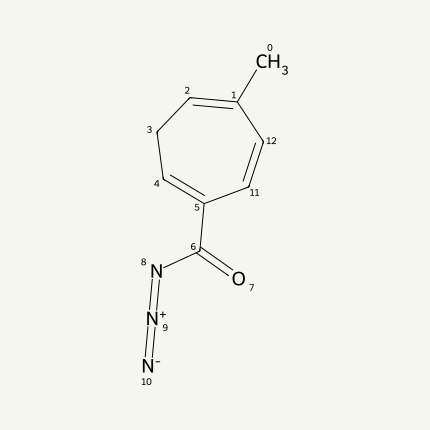 CC1=CCC=C(C(=O)N=[N+]=[N-])C=C1